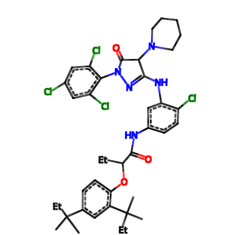 CCC(Oc1ccc(C(C)(C)CC)cc1C(C)(C)CC)C(=O)Nc1ccc(Cl)c(NC2=NN(c3c(Cl)cc(Cl)cc3Cl)C(=O)C2N2CCCCC2)c1